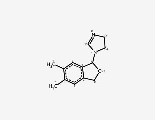 Cc1cc2c(cc1C)C(N1C=NCC1)OC2